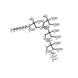 O=C([O-])CC(O)(CC(=O)[O-])C(=O)[O-].O=C([O-])CC(O)(CC(=O)[O-])C(=O)[O-].O=C([O-])CC(O)(CC(=O)[O-])C(=O)[O-].O=C([O-])CC(O)(CC(=O)[O-])C(=O)[O-].[Cu+2].[Cu+2].[Cu+2].[Na+].[Na+].[Na+].[Na+].[Na+].[Na+]